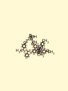 CN=P(N=P(C)(Oc1ccc(C)cc1)Oc1ccc(OC)cc1)(Oc1ccc(CCC(CCC(C)c2ccc(OCCCCS(=O)(=O)O)cc2)c2ccccc2)cc1)Oc1ccc(OC)cc1